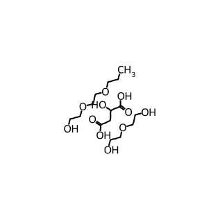 CCCOCCOCCO.O=C(O)CC(O)C(=O)O.OCCOCCO